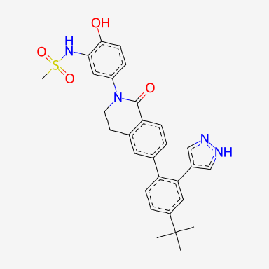 CC(C)(C)c1ccc(-c2ccc3c(c2)CCN(c2ccc(O)c(NS(C)(=O)=O)c2)C3=O)c(-c2cn[nH]c2)c1